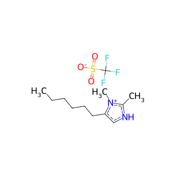 CCCCCCc1c[nH]c(C)[n+]1C.O=S(=O)([O-])C(F)(F)F